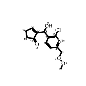 COOCc1ccc(C(O)C2=CCCC2=O)c(Cl)n1